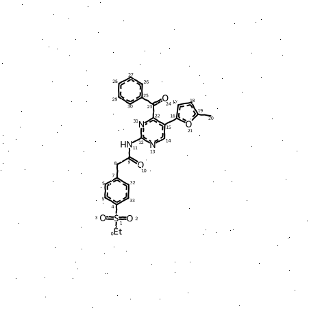 CCS(=O)(=O)c1ccc(CC(=O)Nc2ncc(-c3ccc(C)o3)c(C(=O)c3ccccc3)n2)cc1